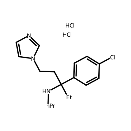 CCCNC(CC)(CCn1ccnc1)c1ccc(Cl)cc1.Cl.Cl